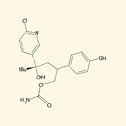 CC(C)(C)[C@](O)(CC(COC(N)=O)c1ccc(O)cc1)c1ccc(Cl)nc1